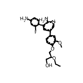 CCOC(CO)COc1ccc(-c2cnc(N)c(-c3ccc(N)cc3F)c2)cc1OC